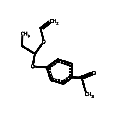 C=COC(CC)Oc1ccc(C(C)=O)cc1